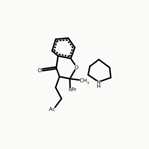 C1CCNCC1.CCCC1(C)Oc2ccccc2C(=O)C1CCC(C)=O